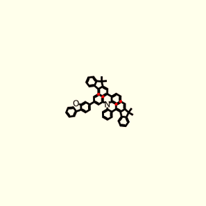 CC1(C)c2ccccc2-c2ccc(-c3ccccc3N(c3cccc(-c4ccc5c(c4)oc4ccccc45)c3)c3ccccc3-c3cccc4c3-c3ccccc3C4(C)C)cc21